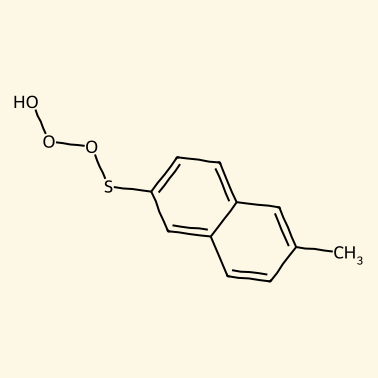 Cc1ccc2cc(SOOO)ccc2c1